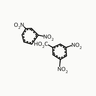 O=C(O)c1cc([N+](=O)[O-])cc([N+](=O)[O-])c1.O=[N+]([O-])c1cccc([N+](=O)[O-])c1